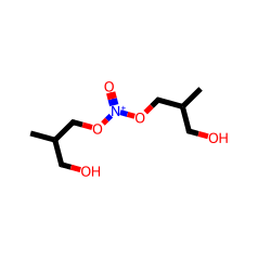 CC(CO)CO[N+](=O)OCC(C)CO